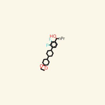 CCCC(O)c1ccc(C2CCC(C3CCC4(CC3)OCCO4)CC2)c(F)c1F